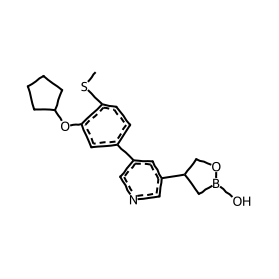 CSc1ccc(-c2cncc(C3COB(O)C3)c2)cc1OC1CCCC1